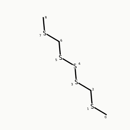 CSCSSSCSC